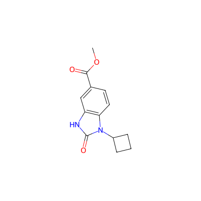 COC(=O)c1ccc2c(c1)[nH]c(=O)n2C1CCC1